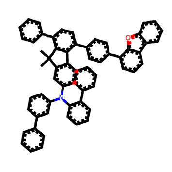 CC1(C)c2cc(N(c3cccc(-c4ccccc4)c3)c3ccccc3-c3ccccc3)ccc2-c2c(-c3ccc(-c4cccc5c4oc4ccccc45)cc3)ccc(-c3ccccc3)c21